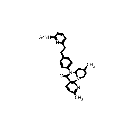 CC(=O)Nc1cccc(CCc2ccc(NC(=O)c3ccc(C)nc3N3CCC(C)CC3)cc2)n1